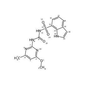 COc1cc(C)nc(NC(=O)NS(=O)(=O)c2cccc3cc[nH]c23)n1